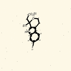 CCOC(=O)CC1(CC)OCCc2c1[nH]c1cc(F)ccc21